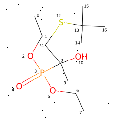 CCOP(=O)(OCC)C(C)(O)CSC(C)(C)C